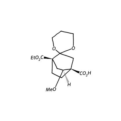 CCOC(=O)[C@@]12CC[C@@](C(=O)O)(CC13OCCCO3)[C@@H](OC)C2